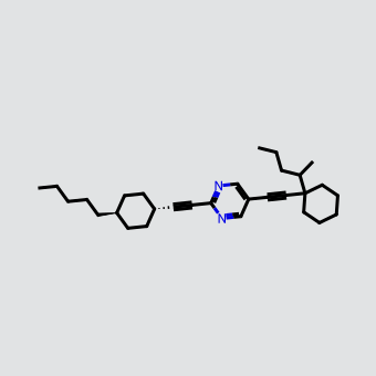 CCCCC[C@H]1CC[C@H](C#Cc2ncc(C#CC3(C(C)CCC)CCCCC3)cn2)CC1